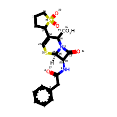 O=C(Cc1ccccc1)N[C@@H]1C(=O)N2C(C(=O)O)C(C3CCCS3(=O)=O)=CS[C@H]12